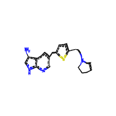 Nc1c[nH]c2ncc(-c3ccc(CN4CCCC4)s3)cc12